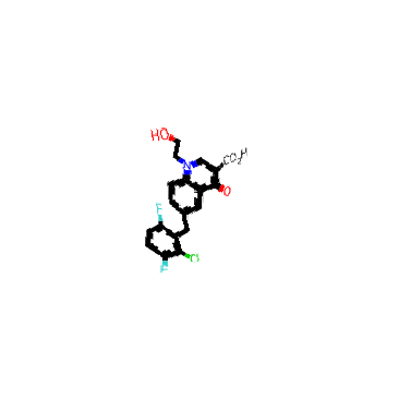 O=C(O)c1cn(CCO)c2ccc(Cc3c(F)ccc(F)c3Cl)cc2c1=O